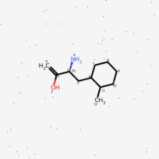 C=C(O)[C@@H](N)CC1CCCCC1C